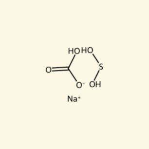 O=C([O-])O.OSO.[Na+]